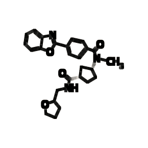 CN(C(=O)c1ccc(-c2nc3ccccc3o2)cc1)[C@@H]1CC[C@H](C(=O)NCC2CCCO2)C1